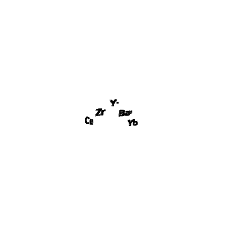 [Ba].[Ce].[Y].[Yb].[Zr]